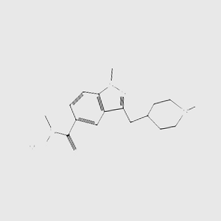 CON(C)C(=O)c1ccc2c(c1)c(CC1CCN(C)CC1)nn2C